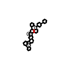 c1ccc(-c2ccc(N(c3ccccc3)c3ccccc3-c3ccc4c(c3)oc3cc5c(ccc6c5c5cccc7c8ccccc8n6c75)cc34)cc2)cc1